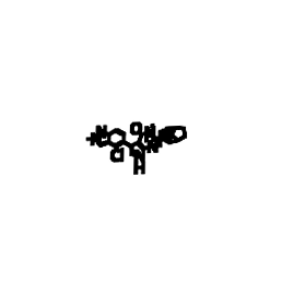 Cn1cc2c(Cl)c(-c3c[nH]c4nc(N5CC6CCC(C5)C6N)n(C)c(=O)c34)ccc2n1